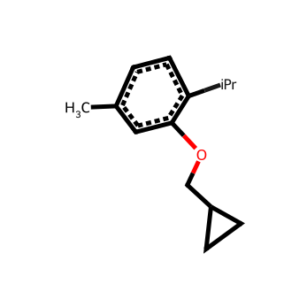 Cc1ccc(C(C)C)c(OCC2CC2)c1